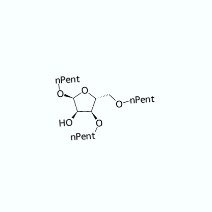 CCCCCOC[C@H]1O[C@H](OCCCCC)[C@H](O)[C@@H]1OCCCCC